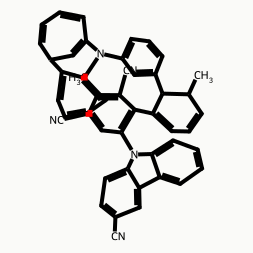 Cc1c(C#N)cc(-n2c3ccccc3c3cc(C#N)ccc32)c(C2=CC=CC(C)C2c2cccc(N3C4=CC(C=CC=C4)c4ccccc43)c2)c1C#N